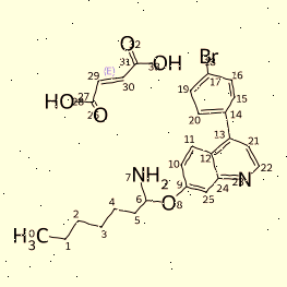 CCCCCCC(N)Oc1ccc2c(-c3ccc(Br)cc3)ccnc2c1.O=C(O)/C=C/C(=O)O